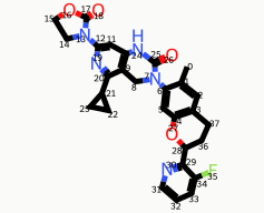 Cc1cc2c(cc1N1Cc3c(cc(N4CCOC4=O)nc3C3CC3)NC1=O)OC(c1ncccc1F)CC2